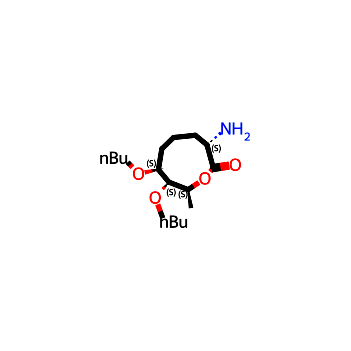 CCCCO[C@H]1[C@H](C)OC(=O)[C@@H](N)CCC[C@@H]1OCCCC